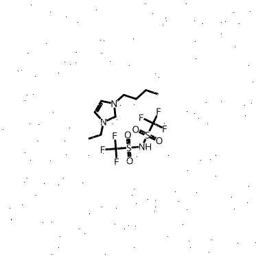 CCCCN1C=CN(CC)C1.O=S(=O)(NS(=O)(=O)C(F)(F)F)C(F)(F)F